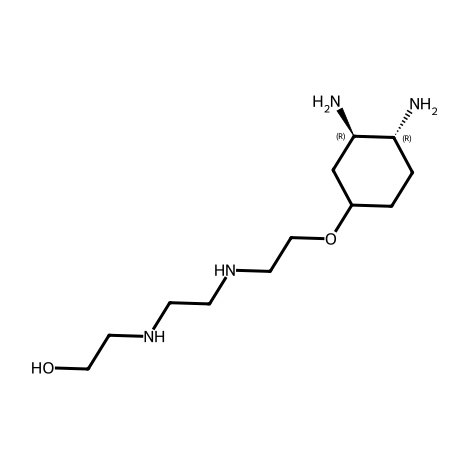 N[C@@H]1CCC(OCCNCCNCCO)C[C@H]1N